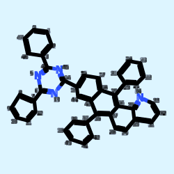 c1ccc(-c2nc(-c3ccccc3)nc(-c3ccc4c(-c5ccccc5)c5c(ccc6cccnc65)c(-c5ccccc5)c4c3)n2)cc1